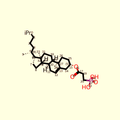 CC(C)CCC[C@@H](C)[C@H]1CC[C@H]2[C@@H]3CC=C4C[C@@H](OC(=O)CCP(=O)(O)O)CC[C@]4(C)[C@H]3CC[C@]12C